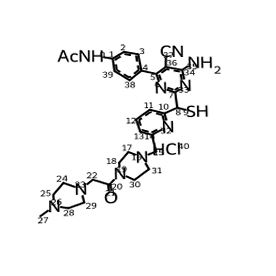 CC(=O)Nc1ccc(-c2nc(C(S)c3cccc(CN4CCN(C(=O)CN5CCN(C)CC5)CC4)n3)nc(N)c2C#N)cc1.Cl